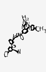 CN1CCN(c2nc(N)nc3cc(C(=O)NCCc4cccc(Oc5ccc(Cl)cc5C#N)c4)ccc23)CC1